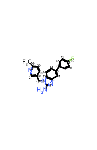 Nc1nc2cc(-c3ccc(F)cc3)ccc2n1Cc1ccc(C(F)(F)F)nc1